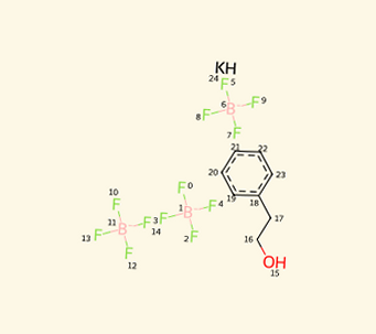 F[B-](F)(F)F.F[B-](F)(F)F.F[B-](F)(F)F.OCCc1ccccc1.[KH]